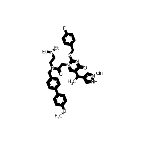 CCN(CC)CCN(Cc1ccc(-c2ccc(OC(F)(F)F)cc2)cc1)C(=O)Cn1cc(C(C)c2cn[nH]c2)c(=O)nc1SCc1ccc(F)cc1.Cl